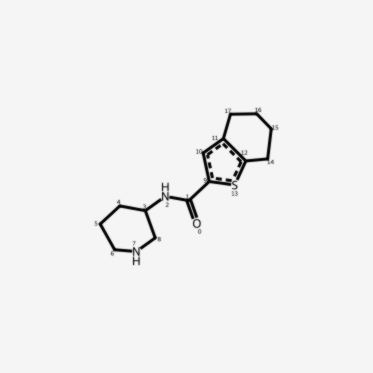 O=C(NC1CCCNC1)c1cc2c(s1)CCCC2